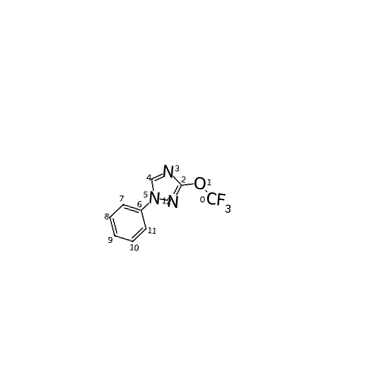 FC(F)(F)Oc1ncn(-c2ccccc2)n1